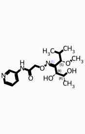 CO[C@H](/C(=N/OCC(=O)Nc1cccnc1)[C@@H](O)[C@@H](C)O)C(C)C